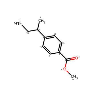 COC(=O)c1ccc(C(C)C[TeH])cc1